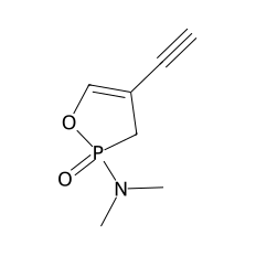 C#CC1=COP(=O)(N(C)C)C1